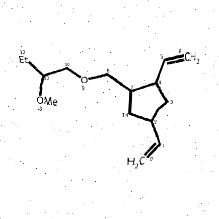 C=CC1CC(C=C)C(COCC(CC)OC)C1